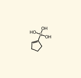 O[Si](O)(O)C1=CCCC1